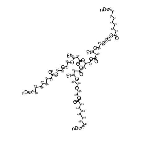 CCCCCCCCCCCCCCCCCC(=O)OCCOCCOC(CC)CC(=O)OCC(COC(=O)CC(CC)OCCOCCOC(=O)CCCCCCCCCCCCCCCCC)OC(=O)CC(CC)OCCOCCOC(=O)CCCCCCCCCCCCCCCCC